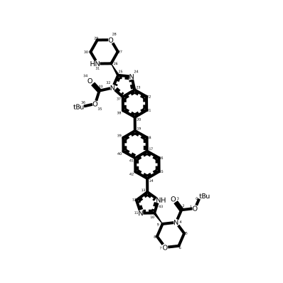 CC(C)(C)OC(=O)N1CCOC[C@H]1c1ncc(-c2ccc3cc(-c4ccc5nc([C@@H]6COCCN6)n(C(=O)OC(C)(C)C)c5c4)ccc3c2)[nH]1